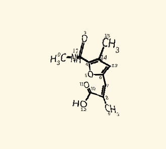 CNC(=O)c1oc(C=C(C)C(=O)O)cc1C